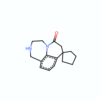 O=C1CC2(CCCC2)c2cccc3c2N1CCNC3